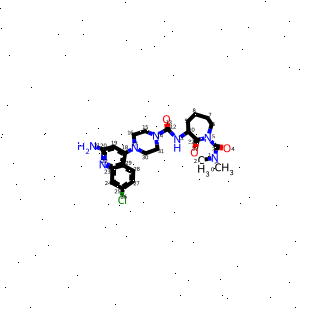 CN(C)C(=O)N1CCCCC(NC(=O)N2CCN(c3cc(N)nc4cc(Cl)ccc34)CC2)C1=O